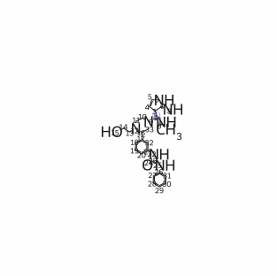 CN/C(=C1/C=CNC1=N)N1CCN(CCO)C(c2cccc(NC(=O)Nc3ccccc3)c2)C1